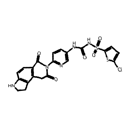 O=C(Nc1ccc(N2C(=O)Cc3c(ccc4c3CCN4)C2=O)nc1)NS(=O)(=O)c1ccc(Cl)s1